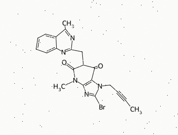 CC#CCn1c(Br)nc2c1C(=O)C(Cc1nc(C)c3ccccc3n1)C(=O)N2C